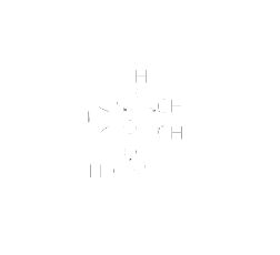 CC(=O)OCC1O[C@H](Sc2ccccc2)C(C)[C@@H](C)[C@@H]1C